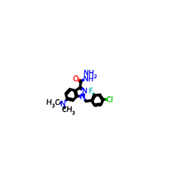 CN(C)c1ccc2c(C(=O)NN)nn(Cc3ccc(Cl)cc3F)c2c1